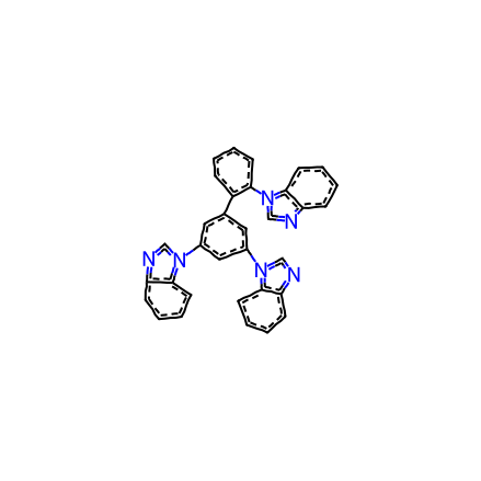 c1ccc(-n2cnc3ccccc32)c(-c2cc(-n3cnc4ccccc43)cc(-n3cnc4ccccc43)c2)c1